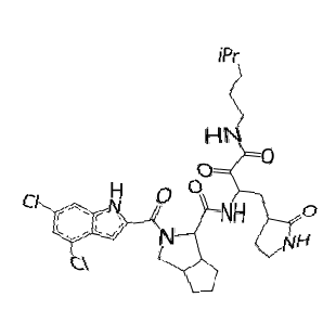 CC(C)CCCNC(=O)C(=O)C(CC1CCNC1=O)NC(=O)C1C2CCCC2CN1C(=O)c1cc2c(Cl)cc(Cl)cc2[nH]1